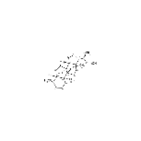 C[C@@H](CO)[C@H]1CC[C@H]2[C@@H]3CC[C@H]4N(C)CCC[C@]4(C)[C@H]3CC[C@]12C